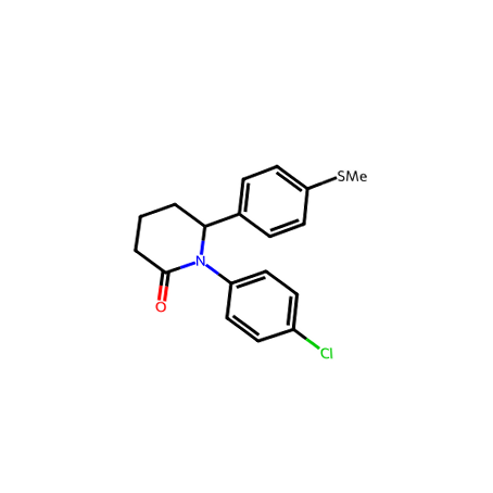 CSc1ccc(C2CCCC(=O)N2c2ccc(Cl)cc2)cc1